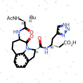 CC[C@H](C)[C@H](NC(C)=O)C(=O)NC1CCc2cccc3c2N(C1=O)[C@H](C(=O)N[C@@H](CC(=O)O)Cc1c[nH]nn1)C3